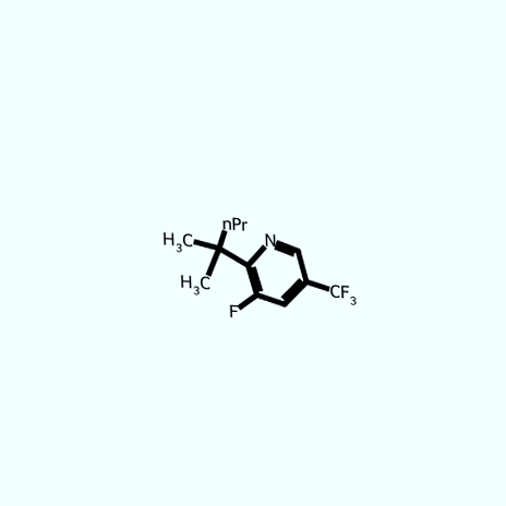 CCCC(C)(C)c1ncc(C(F)(F)F)cc1F